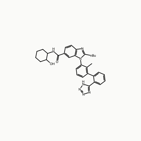 CCCCc1nc2ccc(C(=O)NC3CCCCC3O)cc2n1-c1cccc(-c2ccccc2-c2nnn[nH]2)c1C